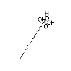 CCCCCCCCCC=CC=CC=CC=CC=CC(CO)=C(CO)C(=O)O